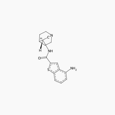 Nc1cccc2sc(C(=O)N[C@H]3CN4CCC3CC4)cc12